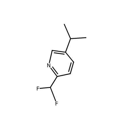 CC(C)c1ccc(C(F)F)nc1